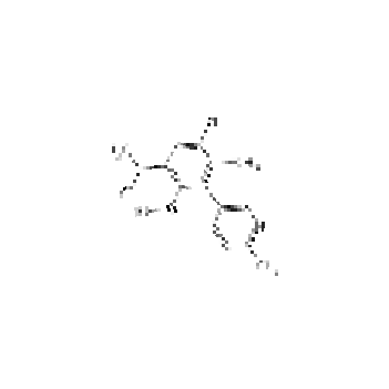 CCOc1c(C(C)Cl)cc(Cl)c(C)c1-c1ccc(C)nc1